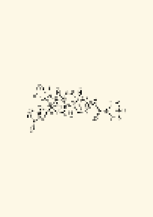 C[C@]12CC[C@H](NC(=O)N3CCNCC3)C[C@H]1CC[C@@H]1[C@@H]2CC[C@]2(C)[C@@H](C3=CC(=O)OC3)[C@H](CC(=O)O)C[C@]12O